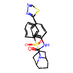 O=C(Nc1ccc(-c2nncs2)cc1)N1C2CCC1CC(S(=O)(=O)c1ccccc1)C2